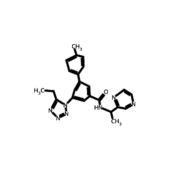 CCc1nnnn1-c1cc(C(=O)NC(C)c2cnccn2)cc(-c2ccc(C)cc2)c1